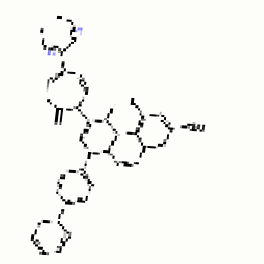 C/C=C\C(=N/C)C1=CCNC(C2=CC(c3ccc(C4CC=CC=N4)cc3)C3C=CC4CC(C(C)(C)C)=CC(I)=C4C3C2C)C=C1